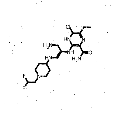 CCC1=NC(C(N)=O)=C(N/C(=C/NC2CCN(CC(F)F)CC2)CN)NC1Cl